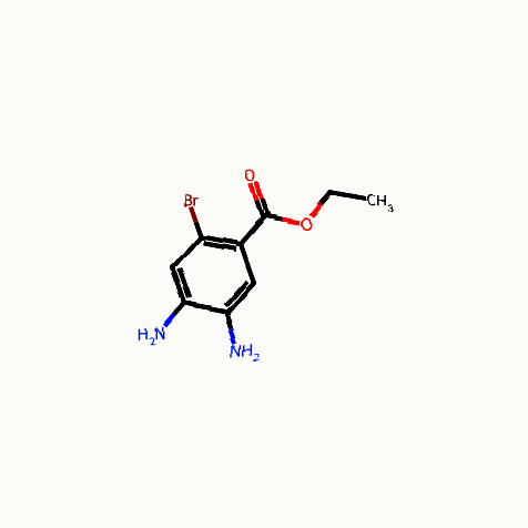 CCOC(=O)c1cc(N)c(N)cc1Br